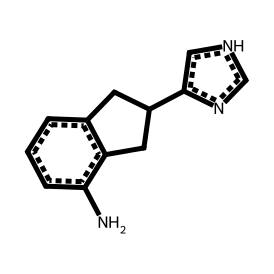 Nc1cccc2c1CC(c1c[nH]cn1)C2